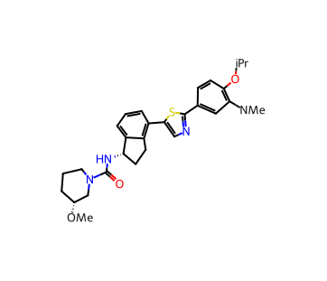 CNc1cc(-c2ncc(-c3cccc4c3CC[C@@H]4NC(=O)N3CCC[C@@H](OC)C3)s2)ccc1OC(C)C